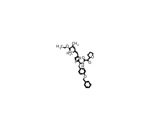 CCOC(=O)/C(C)=C\C(C)=C\c1csc([C@H](Cc2ccc(OCc3ccccc3)cc2)NC(=O)C(=O)C2CCCO2)n1